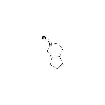 CC(C)N1CCC2CCCC2C1